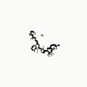 COc1cc2nc(C)ccc2cc1-c1cnc([C@H](CCCCCC(=O)c2ncco2)Nc2ncccn2)[nH]1.Cl